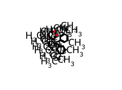 Cc1cc([Si](C)(C)C)c([Si](C)(C)C)c([Si](Cl)(c2cc(C)cc([Si](C)(C)C)c2[Si](C)(C)C)c2cc(C)cc([Si](C)(C)C)c2[Si](C)(C)C)c1